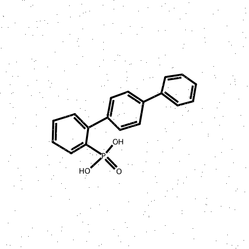 O=P(O)(O)c1ccccc1-c1ccc(-c2ccccc2)cc1